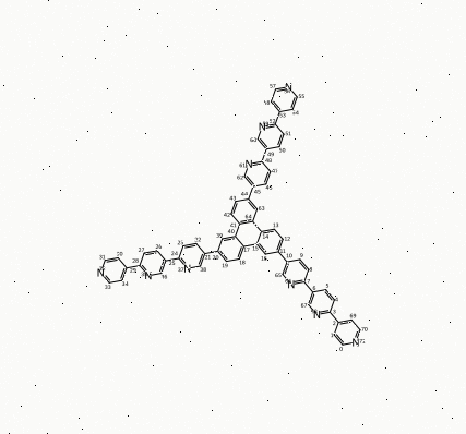 c1cc(-c2ccc(-c3ccc(-c4ccc5c(c4)c4ccc(-c6ccc(-c7ccc(-c8ccncc8)nc7)nc6)cc4c4ccc(-c6ccc(-c7ccc(-c8ccncc8)nc7)nc6)cc54)cn3)cn2)ccn1